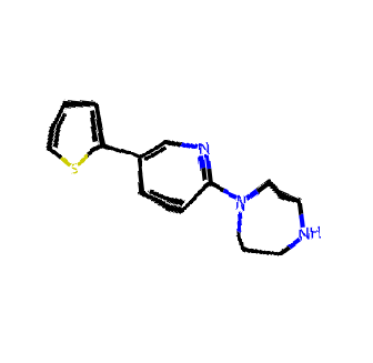 c1csc(-c2ccc(N3CCNCC3)nc2)c1